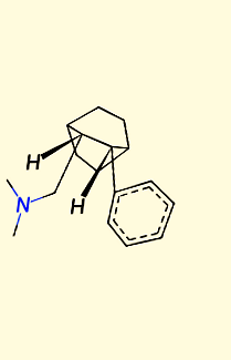 CN(C)C[C@@H]1C2CCC(CC2)[C@@H]1c1ccccc1